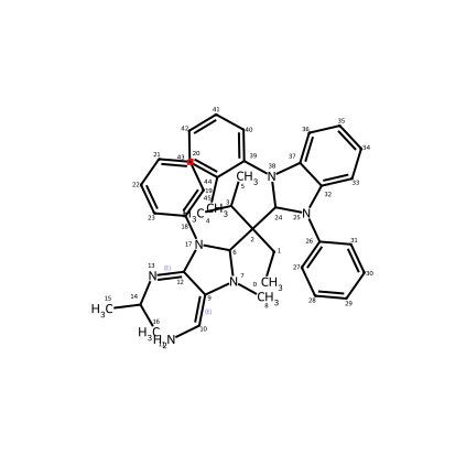 CCC(C(C)C)(C1N(C)C(=C/N)/C(=N\C(C)C)N1c1ccccc1)C1N(c2ccccc2)c2ccccc2N1c1ccccc1C